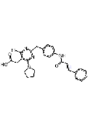 O=C(O)Cc1c(Cl)nc(Cc2ccc(NC(=O)/C=C/c3ccccc3)cc2)nc1N1CCCC1